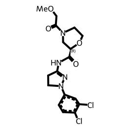 COCC(=O)N1CCO[C@@H](C(=O)NC2=NN(c3ccc(Cl)c(Cl)c3)CC2)C1